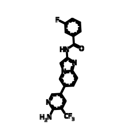 Nc1ncc(-c2ccc3nc(NC(=O)c4cccc(F)c4)cn3c2)cc1C(F)(F)F